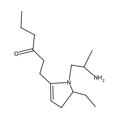 CCCC(=O)CCC1=CCC(CC)N1CC(C)N